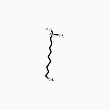 CCCCCCCCC[CH2][Ge]([CH3])[CH3]